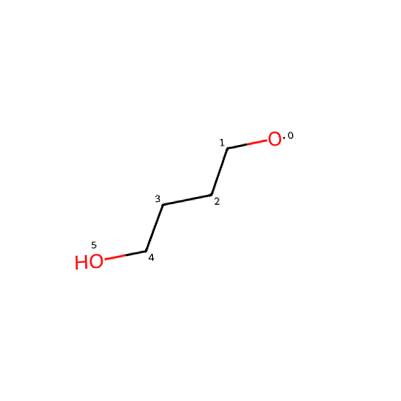 [O]CCCCO